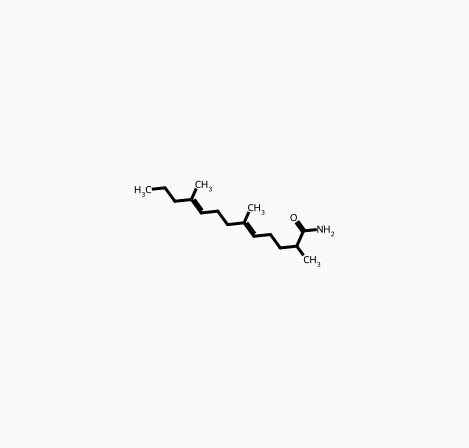 CCC/C(C)=C/CC/C(C)=C/CCC(C)C(N)=O